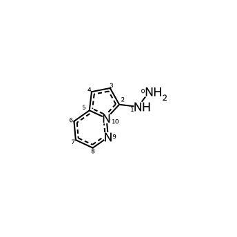 NNc1ccc2cccnn12